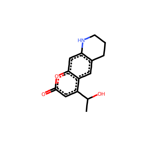 CC(O)c1cc(=O)oc2cc3c(cc12)CCCN3